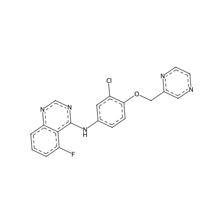 Fc1cccc2ncnc(Nc3ccc(OCc4cnccn4)c(Cl)c3)c12